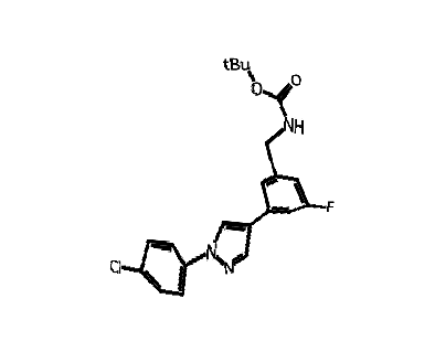 CC(C)(C)OC(=O)NCc1cc(F)cc(-c2cnn(-c3ccc(Cl)cc3)c2)c1